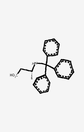 C[C@H](CC(=O)O)NC(c1ccccc1)(c1ccccc1)c1ccccc1